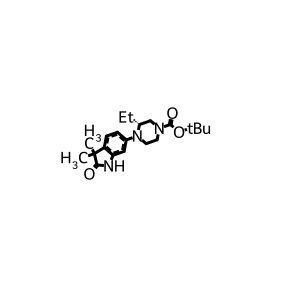 CC[C@@H]1CN(C(=O)OC(C)(C)C)CCN1c1ccc2c(c1)NC(=O)C2(C)C